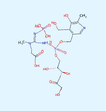 CN(CC(=O)O)C(N)=NP(=O)(O)O.Cc1ncc(COP(=O)(O)OC[C@@H](O)[C@@H](O)C(=O)CO)c(CO)c1O